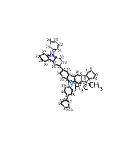 CC1(C)c2ccccc2-c2cc3c4cc(C5=Cc6c(n(C7C=CC=CC7)c7ccccc67)CC5)ccc4n(-c4ccc(-c5ccccc5)cc4)c3cc21